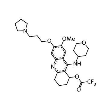 COc1cc2c(NC3CCOCC3)c3c(nc2cc1OCCCN1CCCC1)CCCC3OC(=O)C(F)(F)F